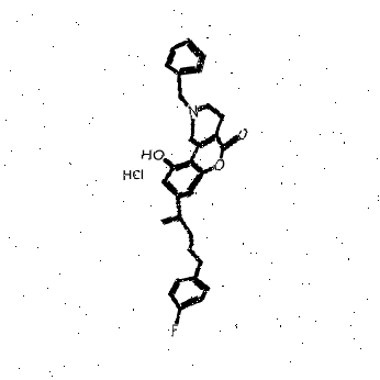 CC(CCCc1ccc(F)cc1)c1cc(O)c2c3c(c(=O)oc2c1)CCN(Cc1ccccc1)C3.Cl